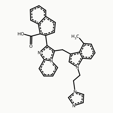 Cc1cccc2c1c(Cc1c(-c3ccc4ccccc4c3C(=O)O)nc3ccccn13)cn2CCn1ccnc1